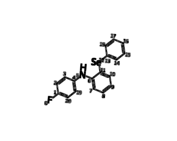 Fc1ccc(Nc2ccccc2[Se]c2ccccc2)cc1